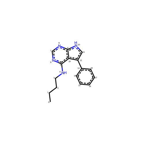 CCCCNc1ncnc2[nH]cc(-c3ccccc3)c12